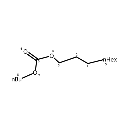 CCCCCCCCCOC(=O)OCCCC